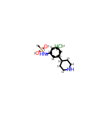 CS(=O)(=O)Nc1cccc(C2CCNCC2)c1.Cl